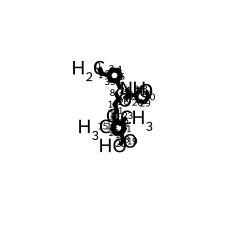 C=Cc1cccc([C@H](CCCCOc2c(C)cc(C(=O)O)cc2C)NC(=O)C2CCCOC2)c1